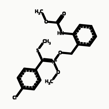 COC(=O)Nc1ccccc1CO[N+](OC)=C(SC)c1ccc(Cl)cc1